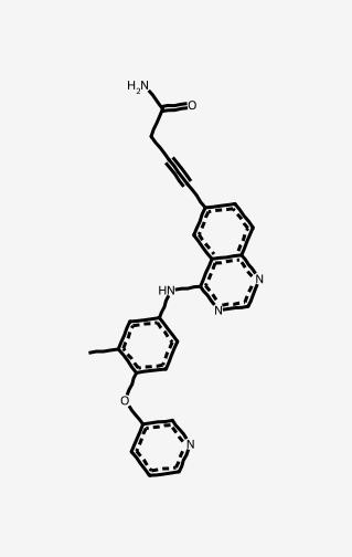 Cc1cc(Nc2ncnc3ccc(C#CCC(N)=O)cc23)ccc1Oc1cccnc1